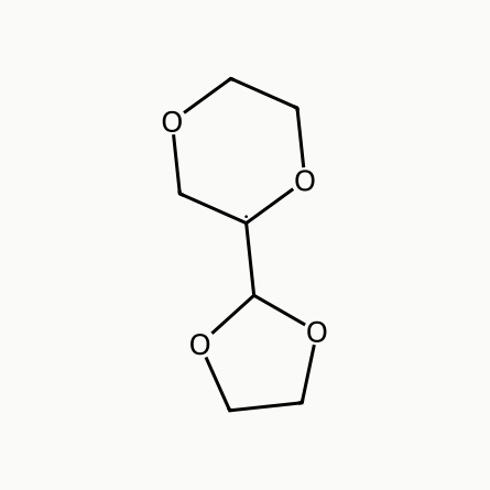 C1CO[C](C2OCCO2)CO1